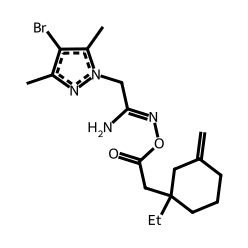 C=C1CCCC(CC)(CC(=O)O/N=C(\N)Cn2nc(C)c(Br)c2C)C1